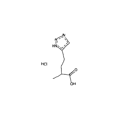 CC(CCc1cnn[nH]1)C(=O)O.Cl